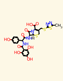 Cc1nnc(SCC2=C(C(=O)O)N3C(=O)C(NC(=O)C(NC(=O)c4c(O)cc(O)cc4O)c4ccc(O)cc4)[C@@H]3SC2)s1